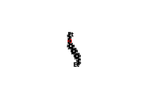 CCC=CCOCc1ccc(-c2ccc([C@H]3CC[C@H](CC=CCC)CC3)cc2)cc1